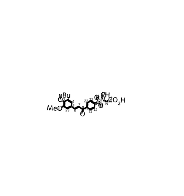 CCCCOc1ccc(/C=C/C(=O)c2ccc(S(=O)(=O)N(C)CC(=O)O)cc2)cc1OC